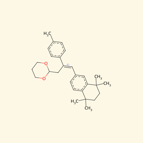 Cc1ccc(/C(=C/c2ccc3c(c2)C(C)(C)CCC3(C)C)CC2OCCCO2)cc1